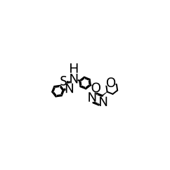 c1ccc2sc(Nc3ccc(Oc4nccnc4[C@@H]4CCCOC4)cc3)nc2c1